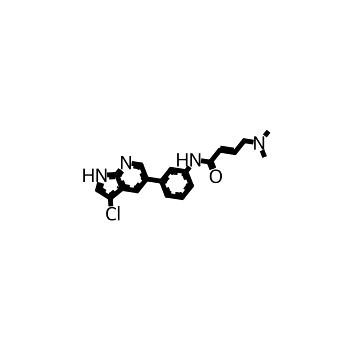 CN(C)CC=CC(=O)Nc1cccc(-c2cnc3[nH]cc(Cl)c3c2)c1